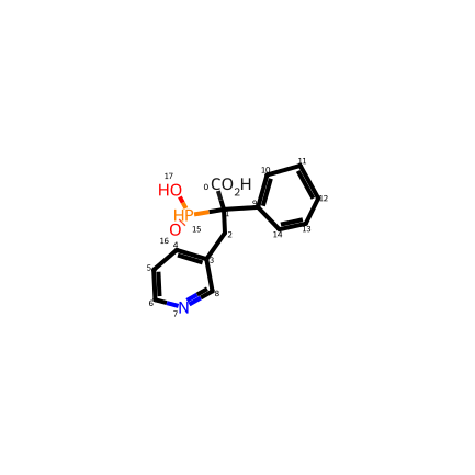 O=C(O)C(Cc1cccnc1)(c1ccccc1)[PH](=O)O